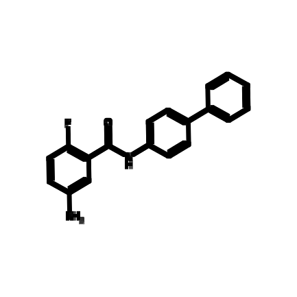 Nc1ccc(F)c(C(=O)Nc2ccc(-c3ccccc3)cc2)c1